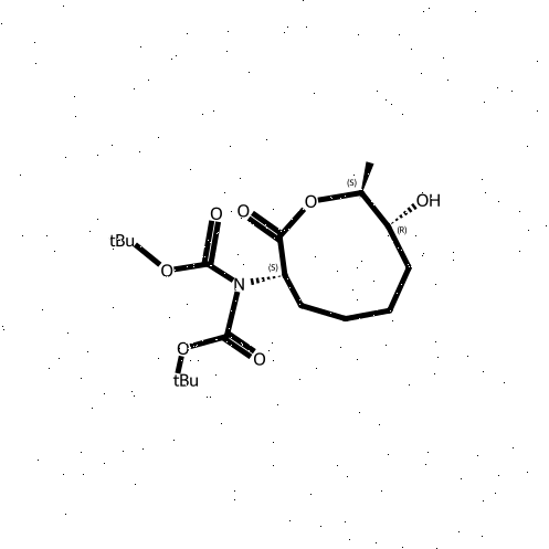 C[C@@H]1OC(=O)[C@@H](N(C(=O)OC(C)(C)C)C(=O)OC(C)(C)C)CCCC[C@H]1O